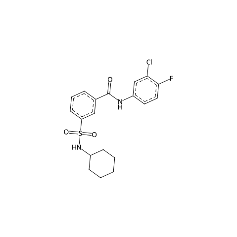 O=C(Nc1ccc(F)c(Cl)c1)c1cccc(S(=O)(=O)NC2CCCCC2)c1